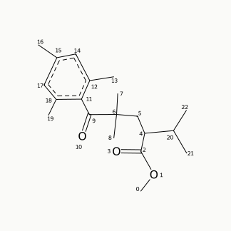 COC(=O)C(CC(C)(C)C(=O)c1c(C)cc(C)cc1C)C(C)C